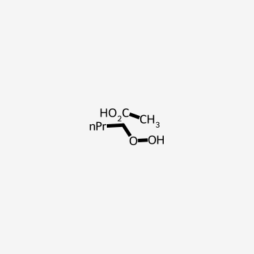 CC(=O)O.CCCCOO